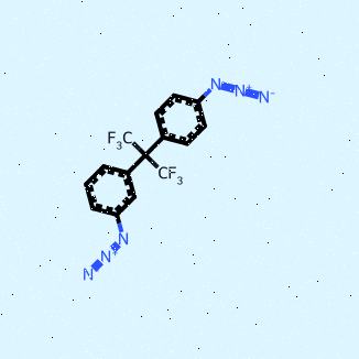 [N-]=[N+]=Nc1ccc(C(c2cccc(N=[N+]=[N-])c2)(C(F)(F)F)C(F)(F)F)cc1